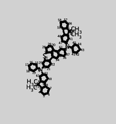 CC1(C)c2ccccc2-c2ccc(N(c3ccccc3)c3ccc4c(c3)Sc3cccc5c3c-4cc3ccc(N(c4ccccc4)c4ccc6c(c4)C(C)(C)c4ccccc4-6)cc35)cc21